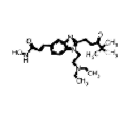 CCN(CC)CCn1c(CCC(=O)C(C)(C)C)nc2cc(/C=C/C(=O)NO)ccc21